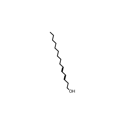 CCCCCCCCCC=CC=CCCO